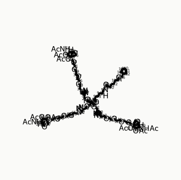 CC(=O)N[C@H]1[C@H]2OC[C@](COCCOCCOCCOCCn3cc(COCC(COCc4cn(CCOCCOCCOCCOC[C@@]56CO[C@@H](O5)[C@H](NC(C)=O)[C@@H](OC(C)=O)[C@H]6OC(C)=O)nn4)(COCc4cn(CCOCCOCCOCCO[C@@]56CO[C@@H](O5)[C@H](NC(C)=O)[C@@H](OC(C)=O)[C@H]6OC(C)=O)nn4)NC(=O)CCCCCNC(=O)CCCCCOCc4ccccc4)nn3)(O2)[C@H](OC(C)=O)[C@@H]1OC(C)=O